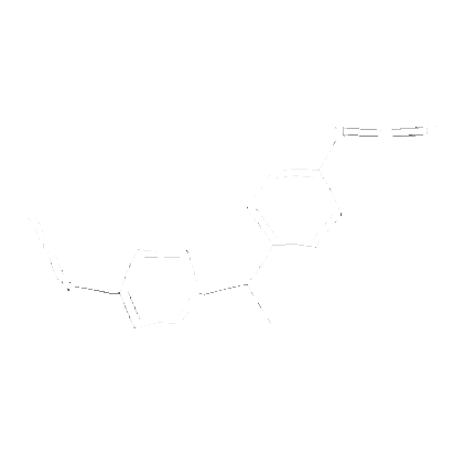 [CH2]C(c1ccc(N=C=O)cc1)c1ccc(N=C=O)cc1